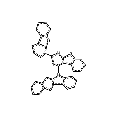 c1ccc2cc3c(cc2c1)c1ccccc1n3-c1nc(-c2cccc3c2oc2ccccc23)nc2sc3ccccc3c12